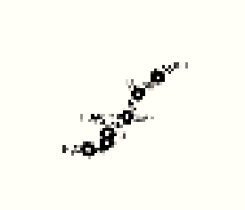 COc1cc(N=Nc2c(SOOO)cc3cc(Nc4ccc(C)cc4)ccc3c2O)c(OC)cc1N=Nc1ccc(N=Nc2ccc(SOOO)cc2)c(C)c1